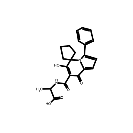 CC(NC(=O)C1=C(O)C2(CCCC2)n2c(ccc2-c2ccccc2)C1=O)C(=O)O